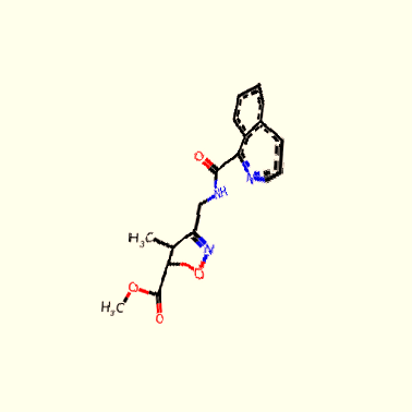 COC(=O)C1ON=C(CNC(=O)c2nccc3ccccc23)C1C